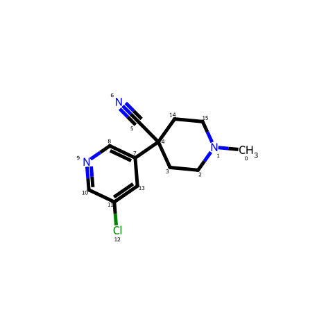 CN1CCC(C#N)(c2cncc(Cl)c2)CC1